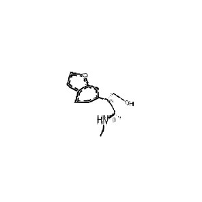 CN[C@@H](C)[C@@H](CO)c1ccc2ccoc2c1